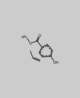 C=CC.CCCOC(=O)c1ccc(O)cc1